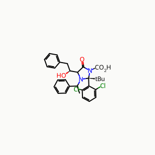 CC(c1ccccc1)N1C([C@@H](O)Cc2ccccc2)C(=O)N(C(=O)O)[C@@]1(c1c(Cl)cccc1Cl)C(C)(C)C